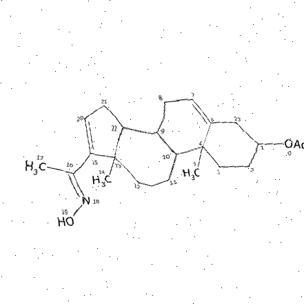 CC(=O)OC1CCC2(C)C(=CCC3C2CCC2(C)C(C(C)=NO)=CCC32)C1